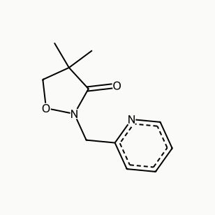 CC1(C)CON(Cc2ccccn2)C1=O